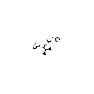 CC(C)n1nccc1C(=O)NC(C(=O)Nc1cnn(C[C@H]2C[C@H](C(F)(F)F)NC2=O)c1)C(C1CC1)C1CC1